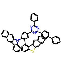 c1ccc(-c2ccc(-c3nc(-c4ccccc4)nc(-c4ccc(-n5c6ccccc6c6cc7ccccc7cc65)c(-c5cccc6sc7cc8ccccc8cc7c56)c4)n3)cc2)cc1